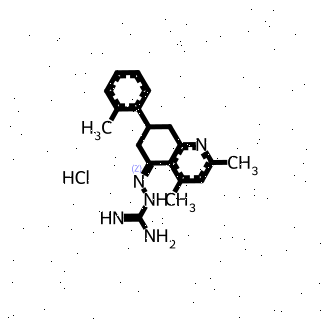 Cc1cc(C)c2c(n1)CC(c1ccccc1C)C/C2=N/NC(=N)N.Cl